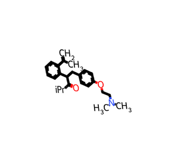 C=C(C)c1ccccc1C(Cc1ccc(OCCN(C)C)cc1)C(=O)C(C)C